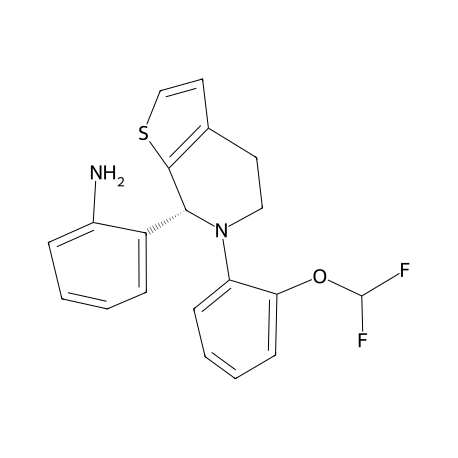 Nc1ccccc1[C@@H]1c2sccc2CCN1c1ccccc1OC(F)F